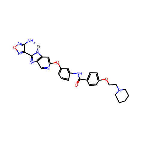 CCn1c(-c2nonc2N)nc2cnc(Oc3cccc(NC(=O)c4ccc(OCCN5CCCCC5)cc4)c3)cc21